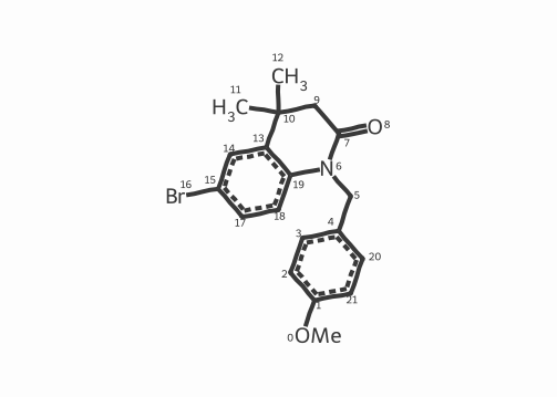 COc1ccc(CN2C(=O)CC(C)(C)c3cc(Br)ccc32)cc1